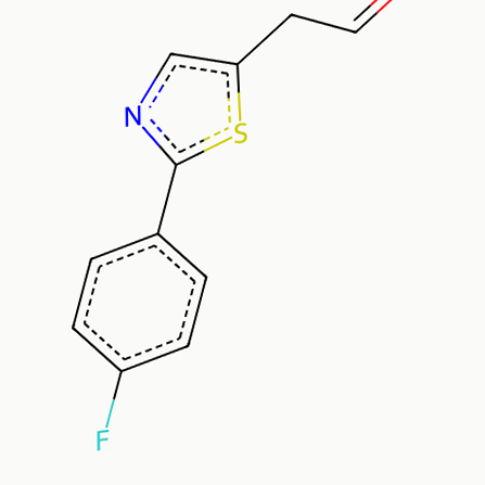 O=CCc1cnc(-c2ccc(F)cc2)s1